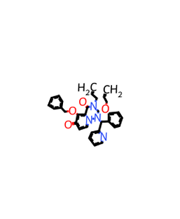 C=CCOc1ccccc1C(c1ccccn1)N1CN(CC=C)C(=O)c2c(OCc3ccccc3)c(=O)ccn21